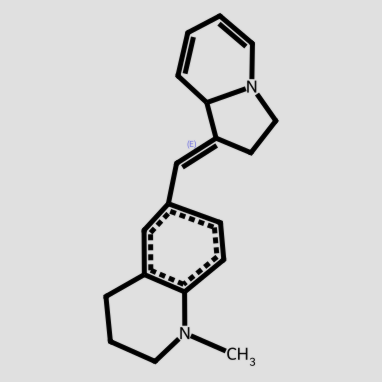 CN1CCCc2cc(/C=C3\CCN4C=CC=CC34)ccc21